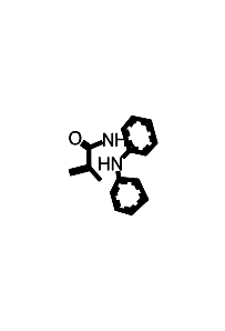 C=C(C)C(N)=O.c1ccc(Nc2ccccc2)cc1